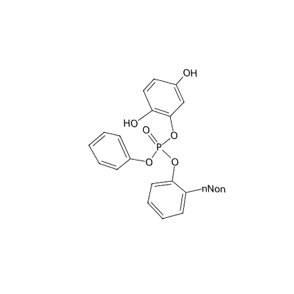 CCCCCCCCCc1ccccc1OP(=O)(Oc1ccccc1)Oc1cc(O)ccc1O